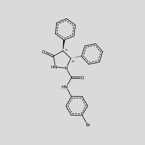 O=C1NN(C(=O)Nc2ccc(Br)cc2)[C@@H](c2ccccc2)[C@@H]1c1ccccc1